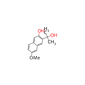 COc1ccc2cc(O)c(C(C)(C)O)cc2c1